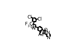 CC(=O)N(C(=O)c1ccc(C2=NOC(c3cc(Cl)cc(Cl)c3)(C(F)(F)F)C2)cc1C)c1cnccn1